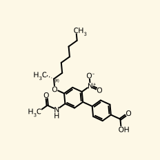 CCCCCC[C@@H](C)Oc1cc([N+](=O)[O-])c(-c2ccc(C(=O)O)cc2)cc1NC(C)=O